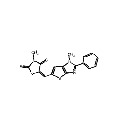 CN1C(=O)/C(=C\c2cc3c(nc(-c4ccccc4)n3C)s2)SC1=S